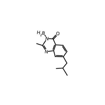 Bn1c(C)nc2cc(CC(C)C)ccc2c1=O